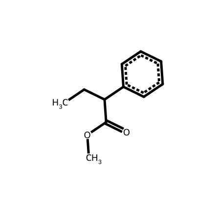 CCC(C(=O)OC)c1ccccc1